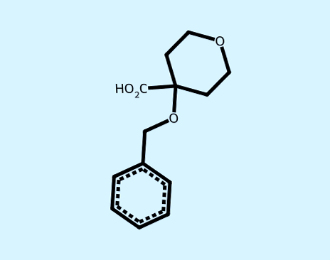 O=C(O)C1(OCc2ccccc2)CCOCC1